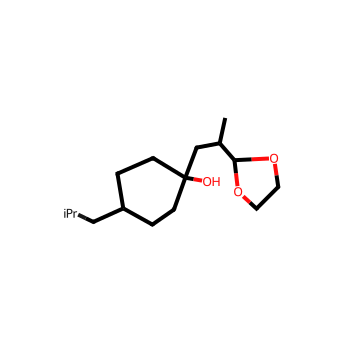 CC(C)CC1CCC(O)(CC(C)C2OCCO2)CC1